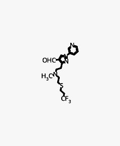 CN(CCSCCC(F)(F)F)CCc1nn(-c2cccnc2)cc1C=O